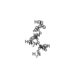 CCCCC(C(=O)O)c1ccccc1OCc1nn(C(C)Cc2ccc(-c3ccc4c(c3)c(COc3cccc(C(=O)O)c3)nn4C(C)CNCc3cccc(-c4cc(OCC5CC5)c5occ(COc6cc(OC)ccc6CC(=O)O)c5c4)c3)cc2CN)c2ccc(-c3cccc(CN)c3)cc12